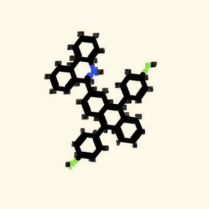 Fc1ccc(-c2c3ccccc3c(-c3ccc(F)cc3)c3cc(-c4nc5ccccc5c5ccccc45)ccc23)cc1